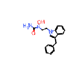 NC(=O)N(O)CCn1cc(Cc2ccccc2)c2ccccc21